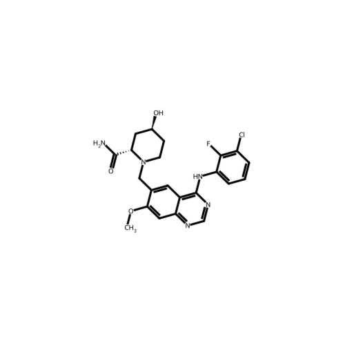 COc1cc2ncnc(Nc3cccc(Cl)c3F)c2cc1CN1CC[C@H](O)C[C@H]1C(N)=O